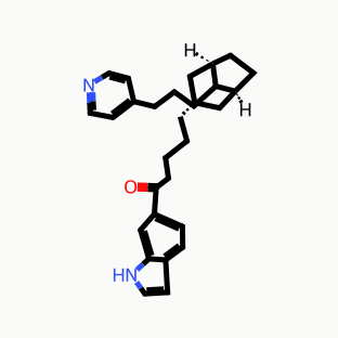 O=C(CCCC[C@@H]1C[C@H]2CC[C@@H](C1)C2CCCc1ccncc1)c1ccc2cc[nH]c2c1